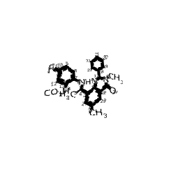 Cc1cc([C@@H](C)Nc2ccc(F)cc2C(=O)O)c2nc(-c3ccccc3)n(C)c(=O)c2c1